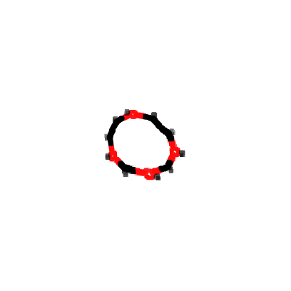 C1COCOCOCCO1